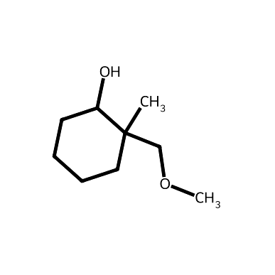 COCC1(C)CCCCC1O